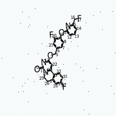 O=c1nc(OCc2ccc(Oc3cccc(CF)n3)c(F)c2)cc2n1CCc1cc(F)ccc1-2